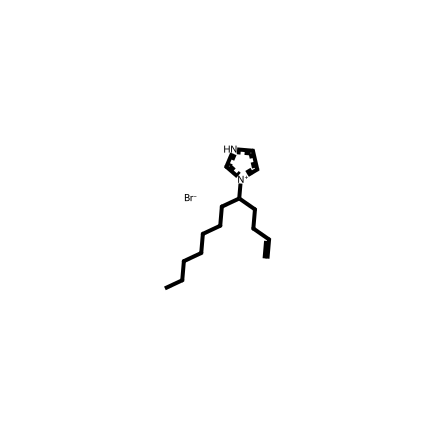 C=CCCC(CCCCCCC)[n+]1cc[nH]c1.[Br-]